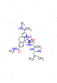 C=C(CN[C@@H](C)CC1(c2nc(=O)o[nH]2)c2ccc(C(=C)NC)cc2CCc2cc(C(=O)NC)ccc21)NC(C#N)C[C@@H](C)CC